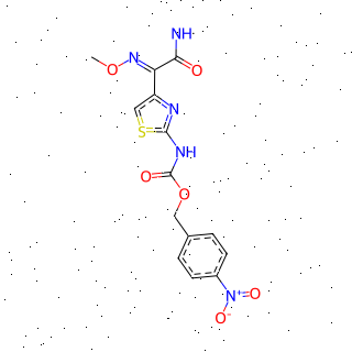 CO/N=C(/C([NH])=O)c1csc(NC(=O)OCc2ccc([N+](=O)[O-])cc2)n1